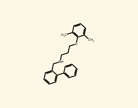 Cc1cccc(C)c1OCCCNCc1ccccc1-c1ccccc1